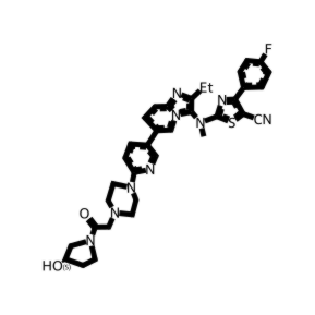 CCc1nc2ccc(-c3ccc(N4CCN(CC(=O)N5CC[C@H](O)C5)CC4)nc3)cn2c1N(C)c1nc(-c2ccc(F)cc2)c(C#N)s1